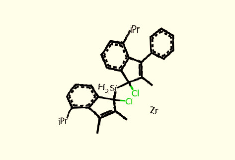 CC1=C(C)C(Cl)([SiH2]C2(Cl)C(C)=C(c3ccccc3)c3c(C(C)C)cccc32)c2cccc(C(C)C)c21.[Zr]